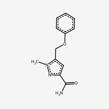 Cn1nc(C(N)=O)cc1COc1ccccc1